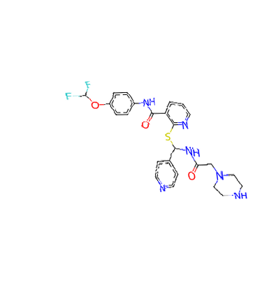 O=C(CN1CCNCC1)NC(Sc1ncccc1C(=O)Nc1ccc(OC(F)F)cc1)c1ccncc1